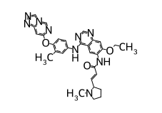 CCOc1cc2ncnc(Nc3ccc(Oc4cc5nncn5cn4)c(C)c3)c2cc1NC(=O)C=CC1CCCN1C